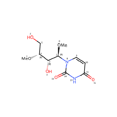 CO[C@H]([C@H](O)[C@@H](CO)OC)n1ccc(=O)[nH]c1=O